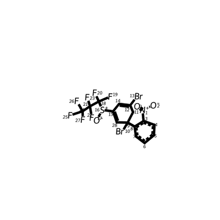 O=[N+]([O-])c1ccccc1C1(Br)[CH]C(Br)=CC([S+]([O-])C(F)(F)C(F)(F)C(F)(F)F)=C1